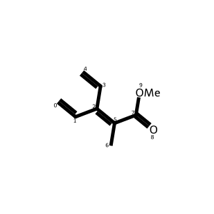 C=CC(C=C)=C(C)C(=O)OC